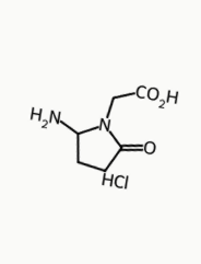 Cl.NC1CCC(=O)N1CC(=O)O